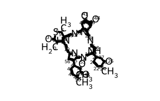 C=C1C(=O)SC(C)c2c1c1cc3nc(nc4[nH]c(cc4C4C=CC(C)C(=O)C4)nc4nc(nc2[nH]1)C1=C4C2C=CC1C(=O)C2=O)C(C(/C=C\C(C)C)C(=O)C=O)=C3